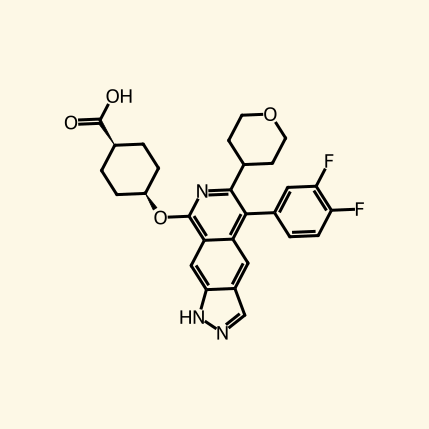 O=C(O)[C@H]1CC[C@@H](Oc2nc(C3CCOCC3)c(-c3ccc(F)c(F)c3)c3cc4cn[nH]c4cc23)CC1